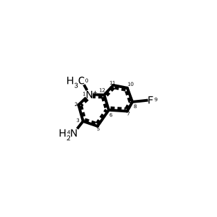 C[n+]1cc(N)cc2cc(F)ccc21